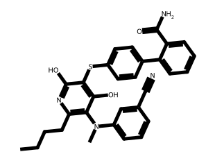 CCCCc1nc(O)c(Sc2ccc(-c3ccccc3C(N)=O)cc2)c(O)c1N(C)c1cccc(C#N)c1